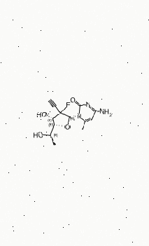 C#CC1(F)[C@@H](O)[C@@H]([C@@H](C)O)O[C@H]1n1c(C)cc(N)nc1=O